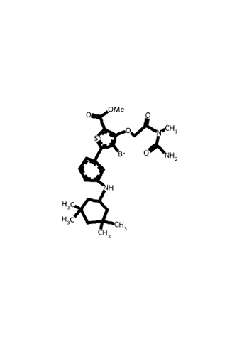 COC(=O)c1sc(-c2cccc(NC3CC(C)(C)CC(C)(C)C3)c2)c(Br)c1OCC(=O)N(C)C(N)=O